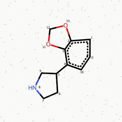 c1cc2c(c(C3CCNC3)c1)OCO2